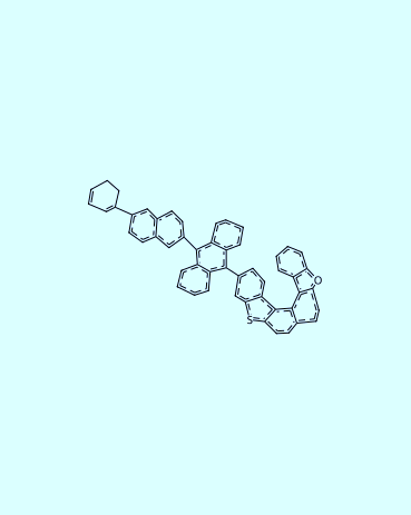 C1=CCCC(c2ccc3cc(-c4c5ccccc5c(-c5ccc6c(c5)sc5ccc7ccc8oc9ccccc9c8c7c56)c5ccccc45)ccc3c2)=C1